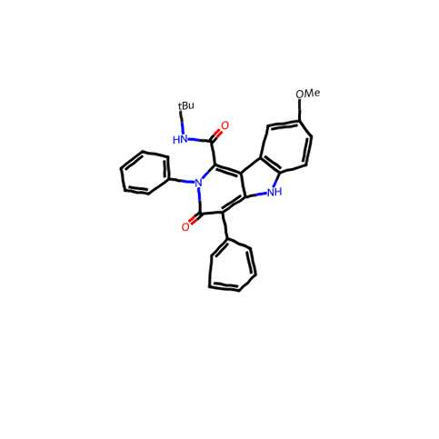 COc1ccc2[nH]c3c(-c4ccccc4)c(=O)n(-c4ccccc4)c(C(=O)NC(C)(C)C)c3c2c1